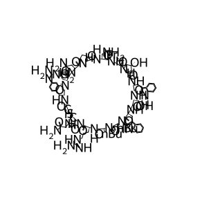 CCCC[C@H]1C(=O)N(C)[C@@H](CCCC)C(=O)N[C@@H](CCCNC(=N)N)C(=O)N[C@H](C(=O)NCC(N)=O)CSCC(=O)N[C@@H](Cc2ccc(N=C(N)N)cc2)C(=O)N(C)[C@@H](C)C(=O)N[C@@H](CC(N)=O)C(=O)N2CCC[C@H]2C(=O)N[C@@H](CN)C(=O)N[C@@H](CC(C)C)C(=O)N2C[C@H](O)C[C@H]2C(=O)N[C@@H](Cc2c[nH]c3ccccc23)C(=O)N[C@@H](CO)C(=O)N[C@@H](Cc2c[nH]c3ccccc23)C(=O)N1C